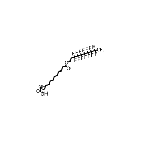 O=C(CCCCCCCCCCP(=O)(O)O)OCCC(F)(F)C(F)(F)C(F)(F)C(F)(F)C(F)(F)C(F)(F)C(F)(F)C(F)(F)F